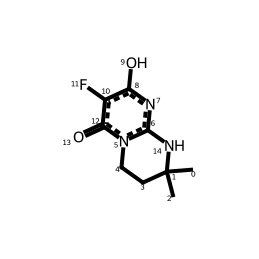 CC1(C)CCn2c(nc(O)c(F)c2=O)N1